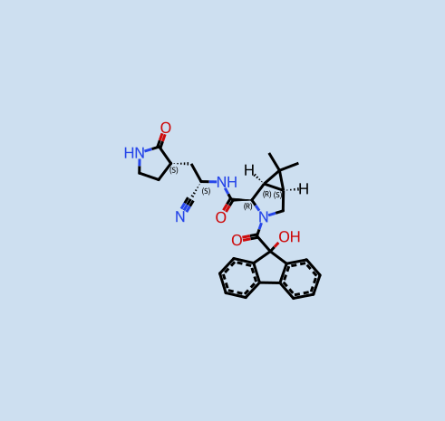 CC1(C)[C@@H]2[C@H](C(=O)N[C@H](C#N)C[C@@H]3CCNC3=O)N(C(=O)C3(O)c4ccccc4-c4ccccc43)C[C@@H]21